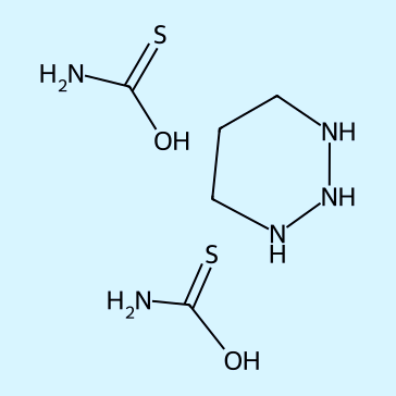 C1CNNNC1.NC(O)=S.NC(O)=S